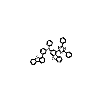 c1ccc(-c2nc(-c3ccccc3)nc(-c3cc(N(c4ccccc4)c4cccc(-c5cccc6c5sc5ccccc56)c4)cc4oc5ccccc5c34)n2)cc1